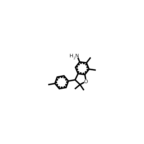 Cc1ccc(C2c3cc(N)c(C)c(C)c3OC2(C)C)cc1